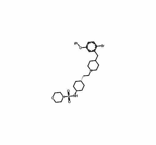 CC(C)Oc1ccc(Br)c(CC2CCN(CC[C@H]3CC[C@H](NS(=O)(=O)N4CCOCC4)CC3)CC2)c1